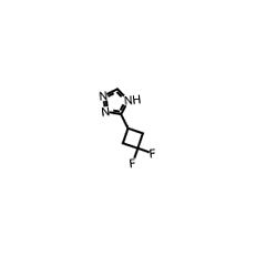 FC1(F)C[C](c2nnc[nH]2)C1